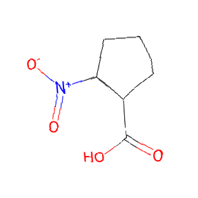 O=C(O)C1CCCC1[N+](=O)[O-]